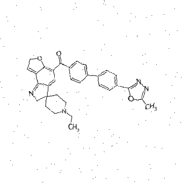 CCN1CCC2(CC1)CN=c1c2cc(C(=O)c2ccc(-c3ccc(-c4nnc(C)o4)cc3)cc2)c2c1=CCO2